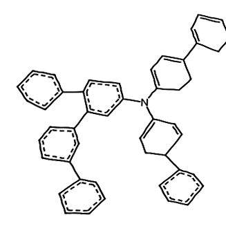 C1=CCCC(C2=CC=C(N(C3=CCC(c4ccccc4)C=C3)c3ccc(-c4ccccc4)c(-c4cccc(-c5ccccc5)c4)c3)CC2)=C1